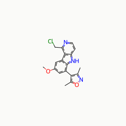 COc1cc(-c2c(C)noc2C)c2[nH]c3ccnc(CCl)c3c2c1